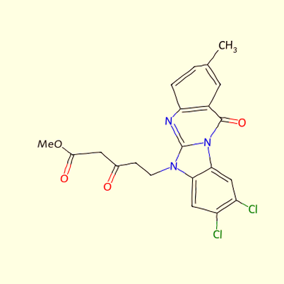 COC(=O)CC(=O)CCn1c2cc(Cl)c(Cl)cc2n2c(=O)c3cc(C)ccc3nc12